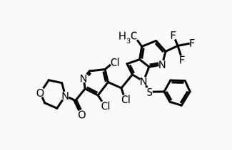 Cc1cc(C(F)(F)F)nc2c1cc(C(Cl)c1c(Cl)cnc(C(=O)N3CCOCC3)c1Cl)n2Sc1ccccc1